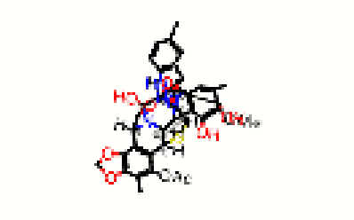 COc1c(C)cc2c(c1O)[C@H]1[C@@H]3[C@@H]4SC[C@]5(N[C@H](CO)Cc6c5[nH]c5ccc(C)cc65)C(=O)OC[C@@H](c5c6c(c(C)c(OC(C)=O)c54)OCO6)N3[C@@H](O)[C@H](C2)N1C